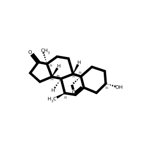 C[C@@H]1C=C2C[C@@H](O)CC[C@]2(CO)[C@H]2CC[C@]3(C)C(=O)CC[C@H]3[C@H]12